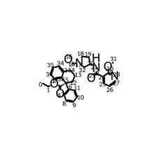 CCOC(=O)[C@]1(c2ccccc2)CC[C@@H](C(=O)N2CCC(NC(=O)c3cccnc3OC)C2)c2ccccc21